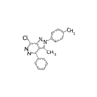 Cc1ccc(-n2nc3c(Cl)nnc(-c4ccccc4)c3c2C)cc1